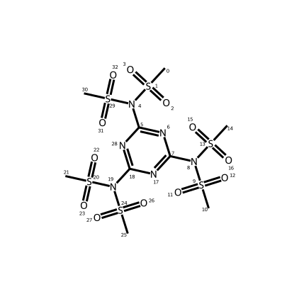 CS(=O)(=O)N(c1nc(N(S(C)(=O)=O)S(C)(=O)=O)nc(N(S(C)(=O)=O)S(C)(=O)=O)n1)S(C)(=O)=O